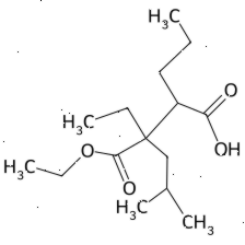 CCCC(C(=O)O)C(CC)(CC(C)C)C(=O)OCC